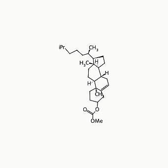 COC(=O)OC1CC[C@@]2(C)C(=CC[C@H]3[C@@H]4CC[C@H]([C@H](C)CCCC(C)C)[C@@]4(C)CC[C@@H]32)C1